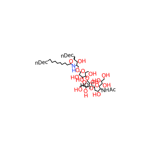 CCCCCCCCCC/C=C/C(O)C(COC1OC(CO)C(OC2OC(CO)C(O)C(OC3(C(=O)O)CC(O)C(NC(C)=O)C(C(O)C(O)CO)O3)C2O)C(O)C1O)NC(=O)CCCCCCCCCCCCCCCCCC